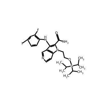 CC(C)[Si](OCCn1c(C(N)=O)c(Nc2ccc(I)cc2F)c2cnccc21)(C(C)C)C(C)C